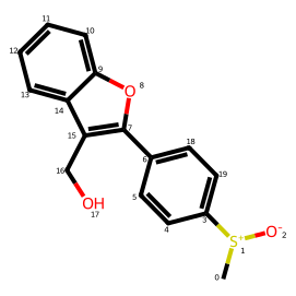 C[S+]([O-])c1ccc(-c2oc3ccccc3c2CO)cc1